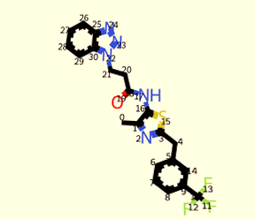 Cc1nc(Cc2cccc(C(F)(F)F)c2)sc1NC(=O)CCn1nnc2ccccc21